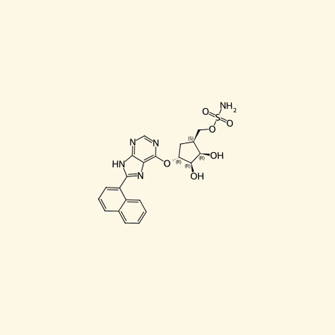 NS(=O)(=O)OC[C@@H]1C[C@@H](Oc2ncnc3[nH]c(-c4cccc5ccccc45)nc23)[C@H](O)[C@@H]1O